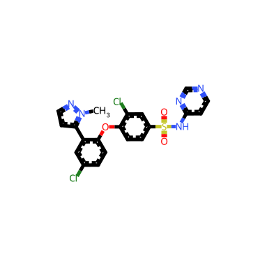 Cn1nccc1-c1cc(Cl)ccc1Oc1ccc(S(=O)(=O)Nc2ccncn2)cc1Cl